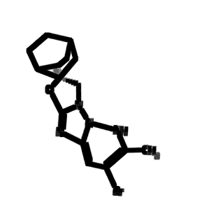 CC1=C(Br)C=C2N=C3O[C@@]4(CC5CCC4CC5)CN3N2N1